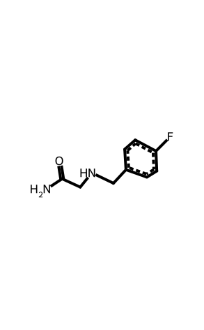 NC(=O)CNCc1ccc(F)cc1